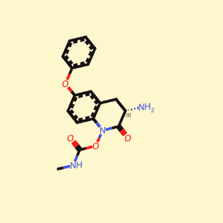 CNC(=O)ON1C(=O)[C@@H](N)Cc2cc(Oc3ccccc3)ccc21